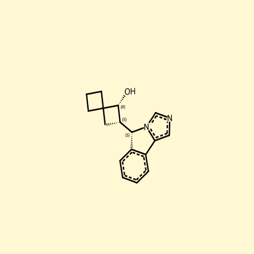 O[C@@H]1[C@H]([C@H]2c3ccccc3-c3cncn32)CC12CCC2